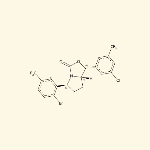 O=C1O[C@H](c2cc(Cl)cc(C(F)(F)F)c2)[C@@H]2CC[C@@H](c3nc(C(F)(F)F)ccc3Br)N12